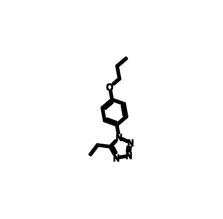 CCCOc1ccc(-n2nnnc2CC)cc1